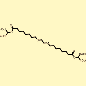 CCCCCCCCC(CCCCCCCC)OC(=O)CCCCCCCOCCOCCCCCCCC(=O)OC(CCCCCCCC)CCCCCCCC